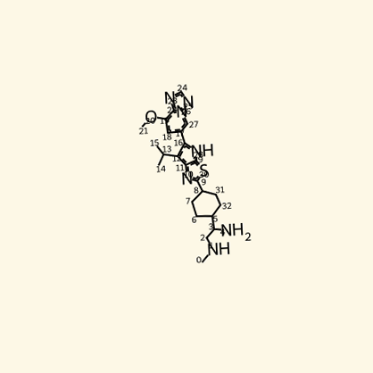 CNCC(N)C1CCC(c2nc3c(C(C)C)c(-c4cc(OC)c5ncnn5c4)[nH]c3s2)CC1